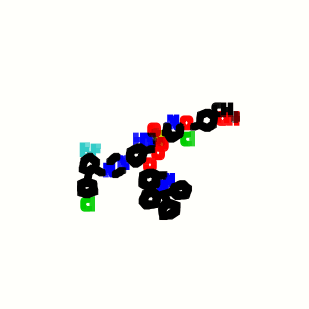 CC1(O)CCC(COc2ncc(S(=O)(=O)NC(=O)c3ccc(N4CCN(CC5=C(c6ccc(Cl)cc6)CCC(F)(F)C5)CC4)cc3Oc3cccc4c3cnn4C(c3ccccc3)(c3ccccc3)c3ccccc3)cc2Cl)CC1